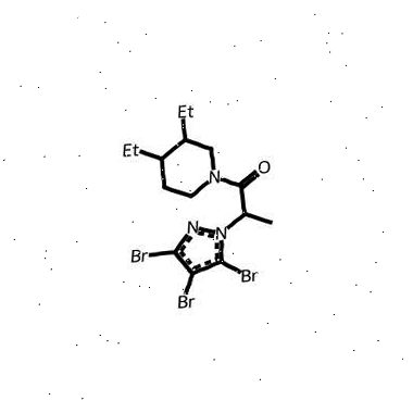 CCC1CCN(C(=O)C(C)n2nc(Br)c(Br)c2Br)CC1CC